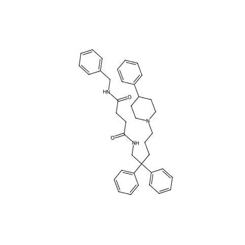 O=C(CCC(=O)NCC(CCCN1CCC(c2ccccc2)CC1)(c1ccccc1)c1ccccc1)NCc1ccccc1